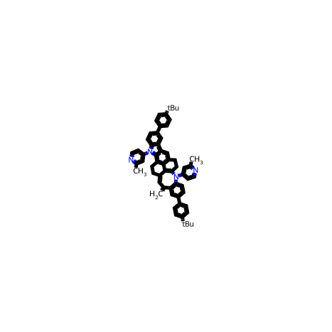 C=C1/C=C2/CCc3c4c(cc5c6cc(-c7ccc(C(C)(C)C)cc7)ccc6n(-c6ccnc(C)c6)c35)CCC(=C24)N(c2ccnc(C)c2)c2ccc(-c3ccc(C(C)(C)C)cc3)cc21